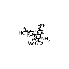 COC(=O)c1c(N)c2ccc(OC(F)(F)F)cc2n(-c2ccc(C(C)O)nc2)c1=O